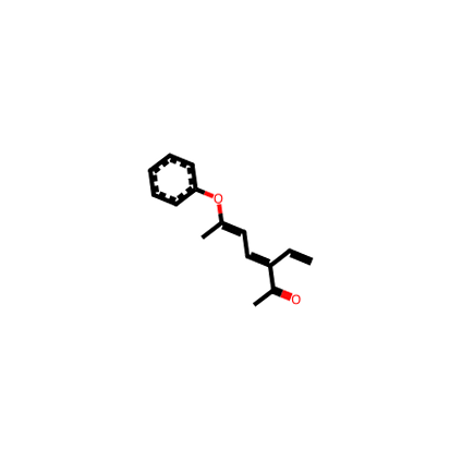 C=C/C(=C\C=C(/C)Oc1ccccc1)C(C)=O